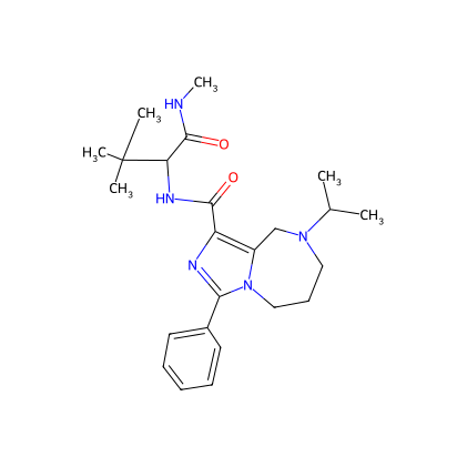 CNC(=O)C(NC(=O)c1nc(-c2ccccc2)n2c1CN(C(C)C)CCC2)C(C)(C)C